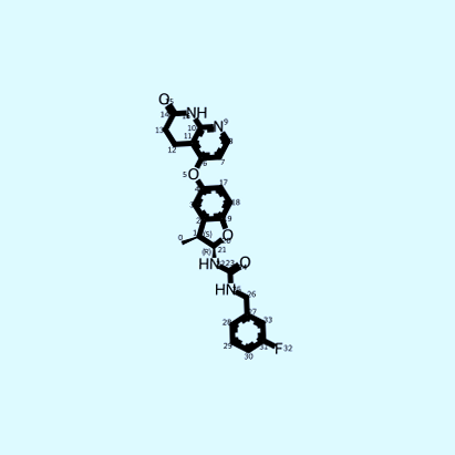 C[C@H]1c2cc(Oc3ccnc4c3CCC(=O)N4)ccc2O[C@H]1NC(=O)NCc1cccc(F)c1